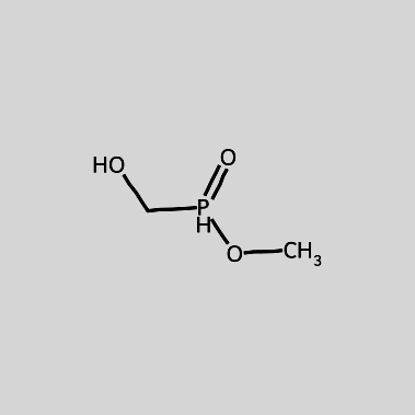 CO[PH](=O)CO